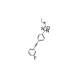 CC[C@H](C)c1nc(-c2ccc(C#Cc3cccc(F)c3)cc2)no1